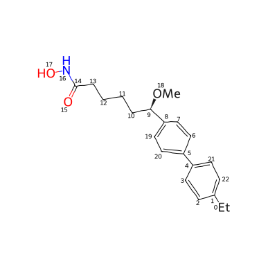 CCc1ccc(-c2ccc([C@@H](CCCCC(=O)NO)OC)cc2)cc1